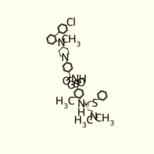 Cc1cc(S(=O)(=O)NC(=O)c2ccc(N3CCC(N(C)c4ccccc4-c4ccc(Cl)cc4)CC3)cc2)ccc1N[C@@H](CCN(C)C)CSc1ccccc1